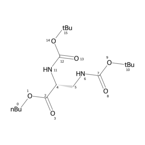 CCCCOC(=O)[C@@H](CNC(=O)OC(C)(C)C)NC(=O)OC(C)(C)C